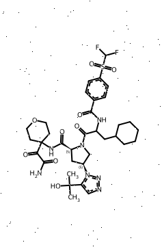 CC(C)(O)c1cnnn1[C@H]1C[C@@H](C(=O)NC2(C(=O)C(N)=O)CCOCC2)N(C(=O)C(CC2CCCCC2)NC(=O)c2ccc(S(=O)(=O)C(F)F)cc2)C1